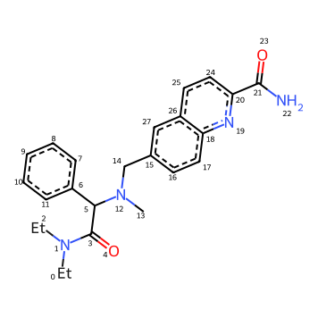 CCN(CC)C(=O)C(c1ccccc1)N(C)Cc1ccc2nc(C(N)=O)ccc2c1